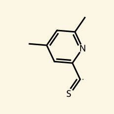 Cc1cc(C)nc([C]=S)c1